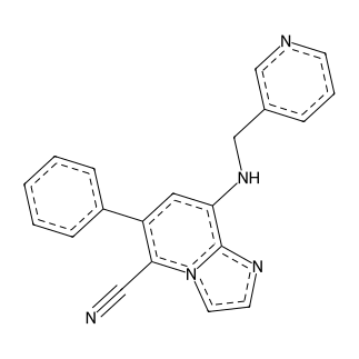 N#Cc1c(-c2ccccc2)cc(NCc2cccnc2)c2nccn12